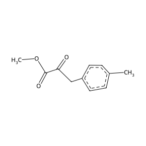 COC(=O)C(=O)Cc1ccc(C)cc1